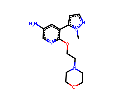 Cn1nccc1-c1cc(N)cnc1OCCN1CCOCC1